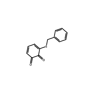 O=C1C=C[C]=C(SCc2ccccc2)C1=O